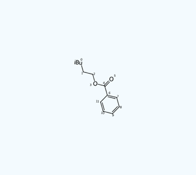 CCC(C)CCOC(=O)c1ccccc1